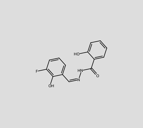 O=C(N/N=C\c1cccc(F)c1O)c1ccccc1O